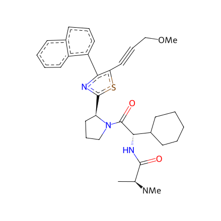 CN[C@@H](C)C(=O)N[C@H](C(=O)N1CCC[C@H]1c1nc(-c2cccc3ccccc23)c(C#CCOC)s1)C1CCCCC1